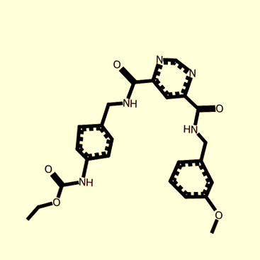 CCOC(=O)Nc1ccc(CNC(=O)c2cc(C(=O)NCc3cccc(OC)c3)ncn2)cc1